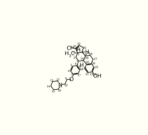 C[C@]12C[C@H](c3ccc(OCCN4CCCCC4)cc3)[C@@H]3c4ccc(O)cc4CC[C@H]3[C@@H]1CC=C2Cl